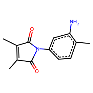 CC1=C(C)C(=O)N(c2ccc(C)c(N)c2)C1=O